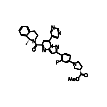 COC(=O)[C@H]1CCN(c2ccc(-c3cc4nc(C(=O)N5CCc6ccccc6[C@H]5C)cc(-c5cncnc5)n4n3)c(F)c2)C1